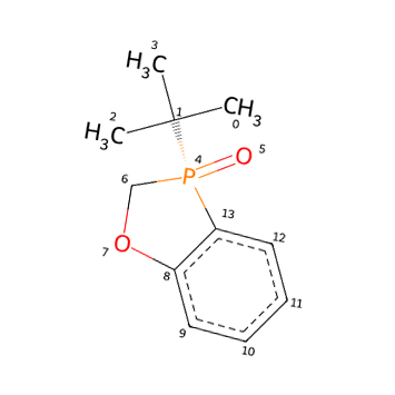 CC(C)(C)[P@@]1(=O)COc2ccccc21